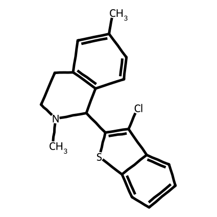 Cc1ccc2c(c1)CCN(C)C2c1sc2ccccc2c1Cl